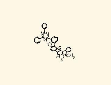 CC1(C)c2ccccc2-c2c1ccc1c2sc2c1ccc1oc3c(-c4nc(-c5ccccc5)nc(-c5ccccc5)n4)cccc3c12